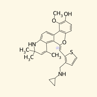 COc1c(O)ccc2c1-c1ccc3c(c1/C(=C/c1sccc1CNC1CC1)O2)C(C)=CC(C)(C)N3